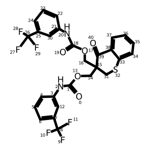 O=C(Nc1cccc(C(F)(F)F)c1)OCC1(COC(=O)Nc2cccc(C(F)(F)F)c2)CSc2ccccc2C1=O